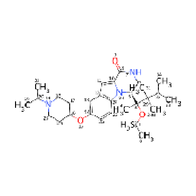 C[SiH2]OC(C)([C@@H]1CNC(=O)c2cc3cc(OC4CCN(C(C)C)CC4)ccc3n21)C(C)(C)C(C)C